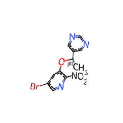 C[C@@H](Oc1cc(Br)cnc1[N+](=O)[O-])c1cncnc1